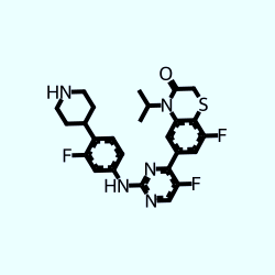 CC(C)N1C(=O)CSc2c(F)cc(-c3nc(Nc4ccc(C5CCNCC5)c(F)c4)ncc3F)cc21